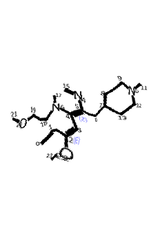 C=C/C(=C\C(=C(/CC1CCN(C)CC1)N=C)N(C)CCOC)OC